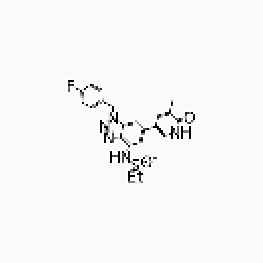 CC[S+]([O-])Nc1cc(-c2c[nH]c(=O)c(C)c2)cc2c1nnn2Cc1ccc(F)cc1